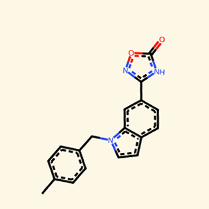 Cc1ccc(Cn2ccc3ccc(-c4noc(=O)[nH]4)cc32)cc1